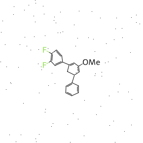 COC1=CC(c2ccccc2)CC(c2ccc(F)c(F)c2)=C1